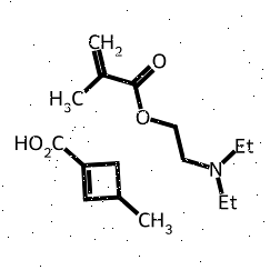 C=C(C)C(=O)OCCN(CC)CC.CC1C=C(C(=O)O)C1